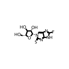 OC[C@H]1O[C@@H](n2cc3nc(F)[nH]c3nc2=S)[C@@H](O)C1O